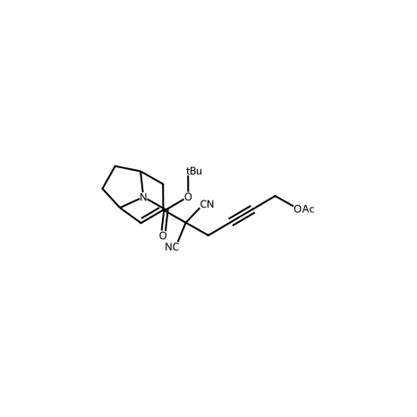 CC(=O)OCC#CCC(C#N)(C#N)C1=CC2CCC(C1)N2C(=O)OC(C)(C)C